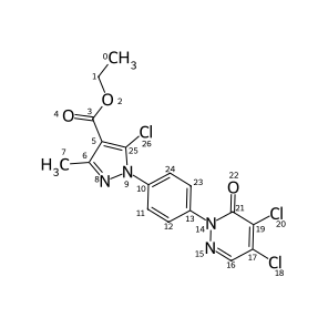 CCOC(=O)c1c(C)nn(-c2ccc(-n3ncc(Cl)c(Cl)c3=O)cc2)c1Cl